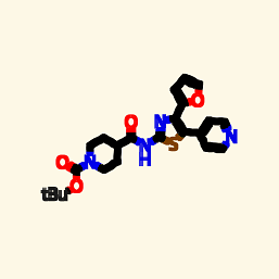 CC(C)(C)OC(=O)N1CCC(C(=O)Nc2nc(-c3ccco3)c(-c3ccncc3)s2)CC1